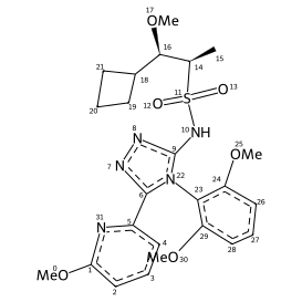 COc1cccc(-c2nnc(NS(=O)(=O)[C@H](C)[C@H](OC)C3CCC3)n2-c2c(OC)cccc2OC)n1